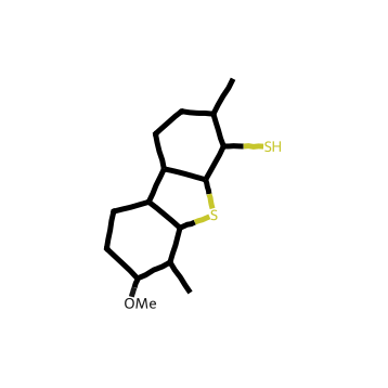 COC1CCC2C3CCC(C)C(S)C3SC2C1C